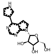 OC[C@H]1O[C@@H](n2ccc3c(-c4cc[nH]c4)ncnc32)[C@H](O)[C@@H]1O